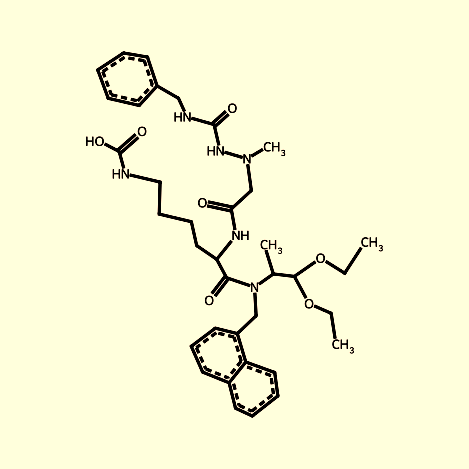 CCOC(OCC)C(C)N(Cc1cccc2ccccc12)C(=O)C(CCCCNC(=O)O)NC(=O)CN(C)NC(=O)NCc1ccccc1